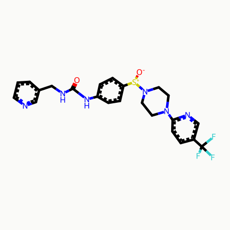 O=C(NCc1cccnc1)Nc1ccc([S+]([O-])N2CCN(c3ccc(C(F)(F)F)cn3)CC2)cc1